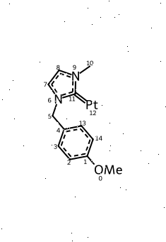 COc1ccc(Cn2ccn(C)[c]2=[Pt])cc1